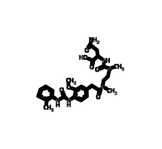 COc1cc(CC(=O)N(C)CCN(C)C(=O)NC(CC(N)=O)C(=O)O)ccc1NC(=O)Nc1ccccc1C